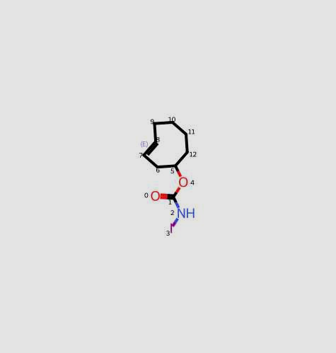 O=C(NI)OC1C/C=C/CCCC1